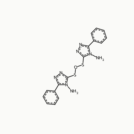 Nn1c(SOSc2nnc(-c3ccccc3)n2N)nnc1-c1ccccc1